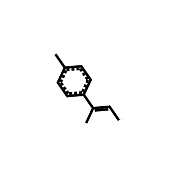 [CH2]C=C(C)c1ccc(C)cc1